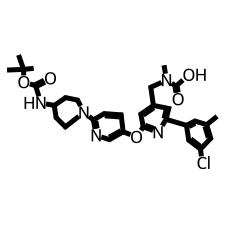 Cc1cc(Cl)cc(-c2cc(CN(C)C(=O)O)cc(Oc3ccc(N4CCC(NC(=O)OC(C)(C)C)CC4)nc3)n2)c1